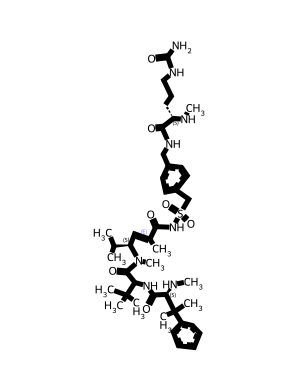 CN[C@@H](CCCNC(N)=O)C(=O)NCc1ccc(CS(=O)(=O)NC(=O)/C(C)=C/[C@H](C(C)C)N(C)C(=O)C(NC(=O)[C@@H](NC)C(C)(C)c2ccccc2)C(C)(C)C)cc1